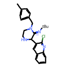 Cc1ccc(CN2CCNC(c3cc4ccccc4nc3Cl)/C2=N/C(C)(C)C)cc1